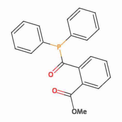 COC(=O)c1ccccc1C(=O)P(c1ccccc1)c1ccccc1